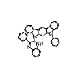 C1=C2c3ccccc3N(C3Nc4ccccc4N=C3c3ccccc3)C2Cc2c1c1ccccc1n2-c1ccccc1